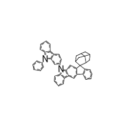 c1ccc(-n2c3ccccc3c3ccc(-n4c5ccccc5c5cc6c(cc54)C4(c5ccccc5-6)C5CC6CC(C5)CC4C6)cc32)cc1